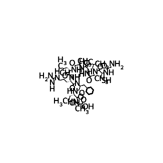 CC(C)C[C@H](NC(=O)[C@H](C)NC(=O)[C@H](CS)NC(=O)CN)C(=O)N[C@@H](C)C(=O)N[C@@H](CC(C)C)C(=O)N[C@@H](CCCNC(=N)N)C(=O)N[C@@H](Cc1ccccc1)C(=O)N[C@@H](CC(C)C)C(=O)N[C@@H](C)C(=O)O